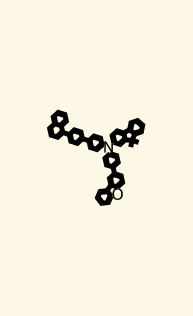 CC1(C)c2ccccc2-c2ccc(N(c3ccc(-c4ccc(-c5cccc6ccccc56)cc4)cc3)c3ccc(-c4ccc5oc6ccccc6c5c4)cc3)cc21